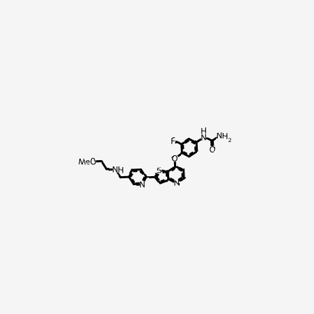 COCCNCc1ccc(-c2cc3nccc(Oc4ccc(NC(N)=O)cc4F)c3s2)nc1